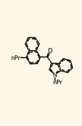 CCCc1ccc(C(=O)c2cn(CCC)c3ccccc23)c2ccccc12